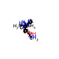 CNCC(O)COc1cccc(-c2cc(N(C)Cc3ccccn3)c(C=N)c(NC(C)C)n2)c1